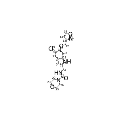 O=C(NCc1cc2cc(Cl)c(OCc3ccon3)cc2[nH]1)N1CCOCC1